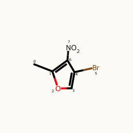 Cc1occ(Br)c1[N+](=O)[O-]